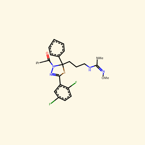 CN/C(=N/OC)NCCCC1(c2ccccc2)SC(c2cc(F)ccc2F)=NN1C(=O)C(C)C